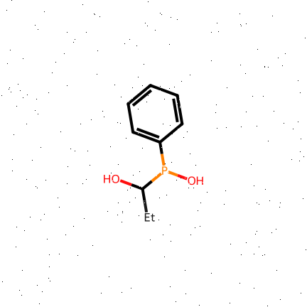 CCC(O)P(O)c1ccccc1